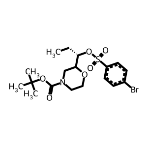 CC[C@H](OS(=O)(=O)c1ccc(Br)cc1)C1CN(C(=O)OC(C)(C)C)CCO1